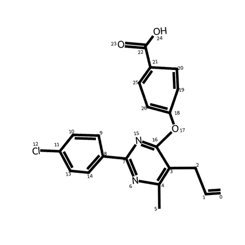 C=CCc1c(C)nc(-c2ccc(Cl)cc2)nc1Oc1ccc(C(=O)O)cc1